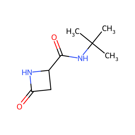 CC(C)(C)NC(=O)C1CC(=O)N1